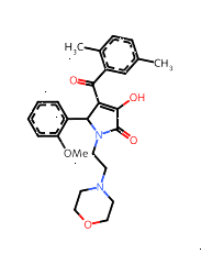 COc1ccccc1C1C(C(=O)c2cc(C)ccc2C)=C(O)C(=O)N1CCN1CCOCC1